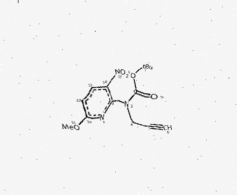 C#CCN(C(=O)OC(C)(C)C)c1nc(OC)ccc1[N+](=O)[O-]